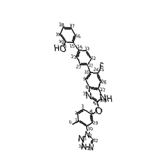 Cc1ccc(Oc2nc3cc(-c4ccc(-c5ccccc5O)cc4)c(F)cc3[nH]2)cc1-n1cnnn1